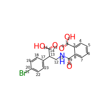 O=C(O)c1ccccc1C(=O)NCC(C(=O)O)c1ccc(Br)cc1